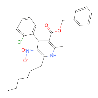 CCCCCCC1=C([N+](=O)[O-])C(c2ccccc2Cl)C(C(=O)OCc2ccccc2)=C(C)N1